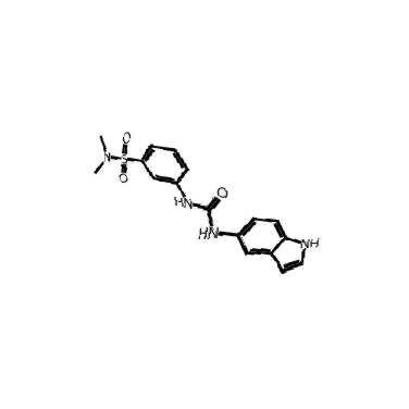 CN(C)S(=O)(=O)c1cccc(NC(=O)Nc2ccc3[nH]ccc3c2)c1